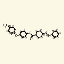 O=C(Oc1ccc(Oc2ccc(C(F)(F)F)cn2)cc1)N1CCC(CSc2ccccn2)CC1